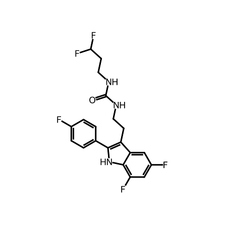 O=C(NCCc1c(-c2ccc(F)cc2)[nH]c2c(F)cc(F)cc12)NCCC(F)F